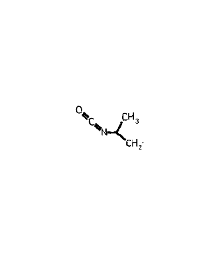 [CH2]C(C)N=C=O